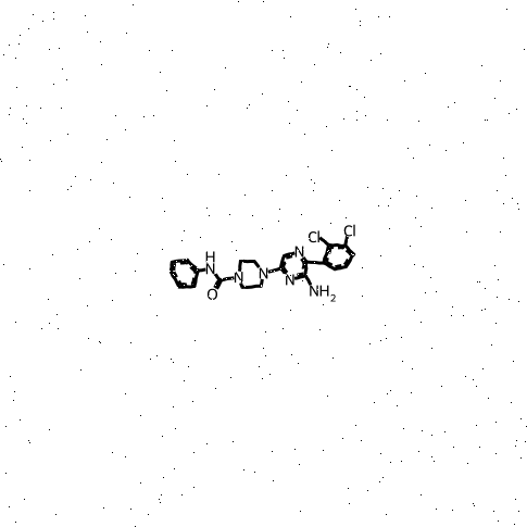 Nc1nc(N2CCN(C(=O)Nc3ccccc3)CC2)cnc1-c1cccc(Cl)c1Cl